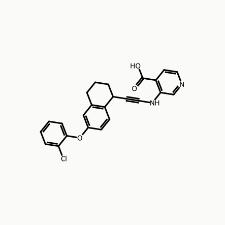 O=C(O)c1ccncc1NC#CC1CCCc2cc(Oc3ccccc3Cl)ccc21